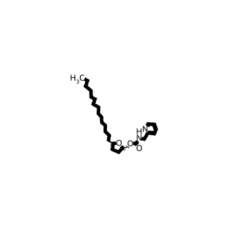 CCCCCCCCCCCCCCC[C@@H]1CC[C@@H](COC(=O)NCc2ccccn2)O1